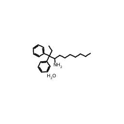 CCCCCCCC(N)C(CC)(c1ccccc1)c1ccccc1.O